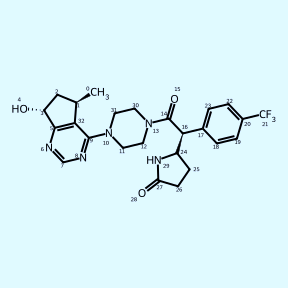 C[C@@H]1C[C@@H](O)c2ncnc(N3CCN(C(=O)[C@@H](c4ccc(C(F)(F)F)cc4)C4CCC(=O)N4)CC3)c21